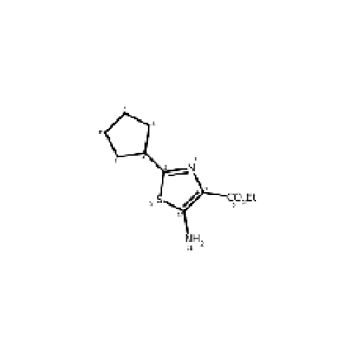 CCOC(=O)c1nc(C2CCCC2)sc1N